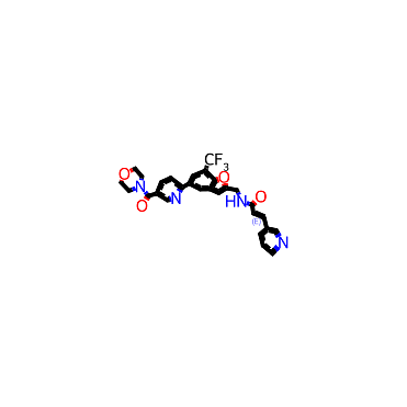 O=C(/C=C/c1cccnc1)NCc1cc2cc(-c3ccc(C(=O)N4CCOCC4)cn3)cc(C(F)(F)F)c2o1